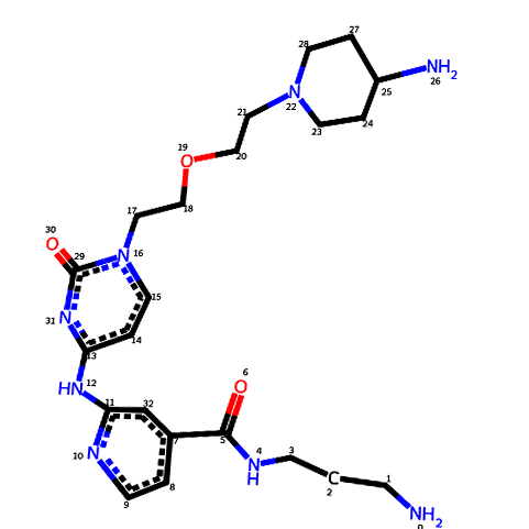 NCCCNC(=O)c1ccnc(Nc2ccn(CCOCCN3CCC(N)CC3)c(=O)n2)c1